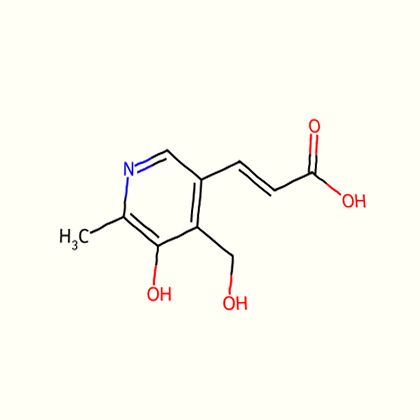 Cc1ncc(C=CC(=O)O)c(CO)c1O